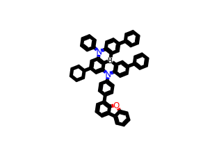 c1ccc(-c2ccc3c(c2)B2c4cc(-c5ccccc5)ccc4N(c4ccc(-c5cccc6c5oc5ccccc56)cc4)c4cc(C5CCCCC5)cc(c42)N3c2ccccc2)cc1